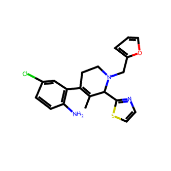 CC1=C(c2cc(Cl)ccc2N)CCN(Cc2ccco2)C1c1nccs1